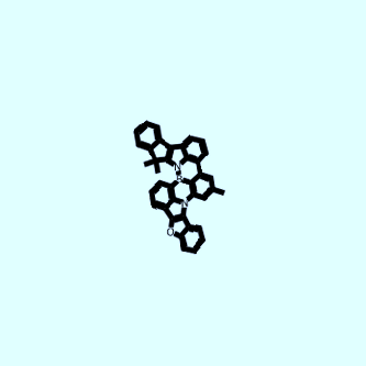 Cc1cc2c3c(c1)-n1c4c(cccc4c4oc5ccccc5c41)B3n1c3c(c4cccc-2c41)-c1ccccc1C3(C)C